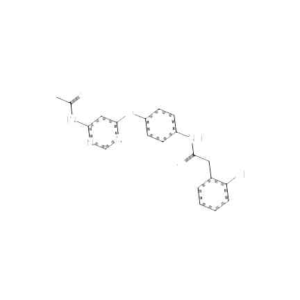 CC(=O)Nc1cc(Oc2ccc(NC(=O)Cc3ccccc3Cl)cc2)ncn1